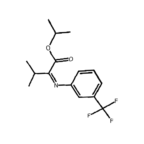 CC(C)OC(=O)/C(=N\c1cccc(C(F)(F)F)c1)C(C)C